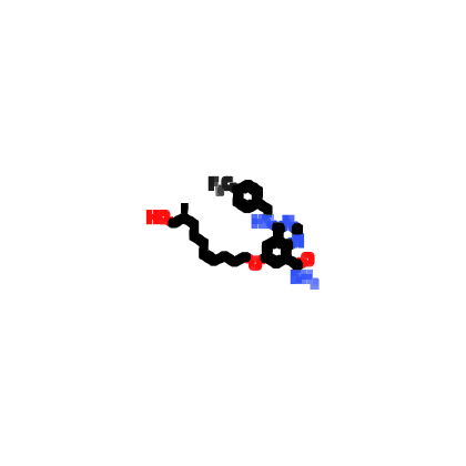 C[C@H](CO)CCC/C=C\CCCOc1cc(C(N)=O)c2ncnc(NCc3ccc(C(F)(F)F)cc3)c2c1